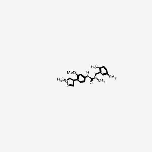 COc1cc(NC(=O)N(C)Cc2cc(C)ccc2C)ccc1C1C=NN(C)C1